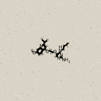 CCCCNc1nc(N)ncc1OCCOc1cc(C(C)C)nc2cc(OC)ccc12